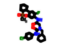 CS(=O)(=O)c1ccccc1-c1ccc(NC(=O)CN(CC2CCCCC2)C(=O)Nc2ccc(Cl)cc2)c(F)c1